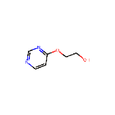 OCCOc1ccncn1